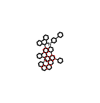 c1ccc(-c2ccc(-c3c(N(c4ccccc4-c4ccccc4)c4ccccc4-c4ccccc4-c4ccc(-c5ccc(-c6c(N(c7ccc(-c8ccccc8)cc7)c7ccc(-c8ccccc8)cc7)c7ccccc7c7ccccc67)cc5)cc4)c4ccccc4c4ccccc34)cc2)cc1